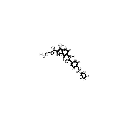 CCOC(=O)c1[nH]c2c(F)c(NC(=O)c3ccc(OC[C@@H]4CCCO4)cc3)ccc2c1C